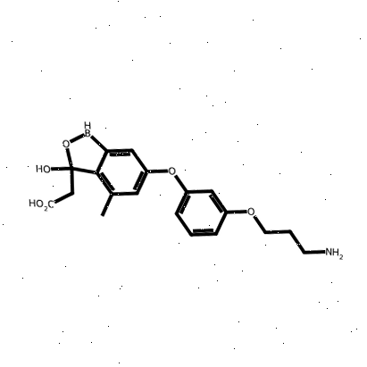 Cc1cc(Oc2cccc(OCCCN)c2)cc2c1C(O)(CC(=O)O)OB2